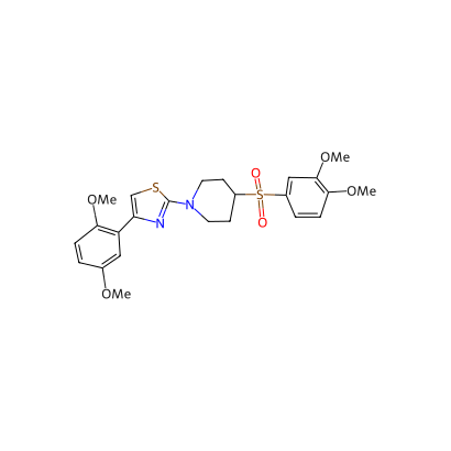 COc1ccc(OC)c(-c2csc(N3CCC(S(=O)(=O)c4ccc(OC)c(OC)c4)CC3)n2)c1